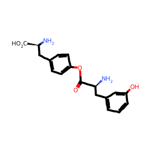 N[C@@H](Cc1ccc(OC(=O)[C@@H](N)Cc2cccc(O)c2)cc1)C(=O)O